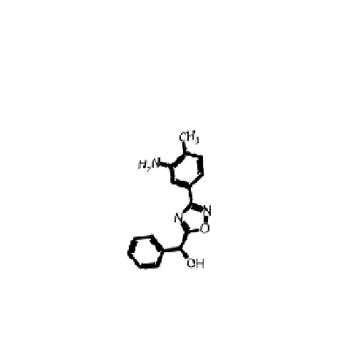 Cc1ccc(-c2noc(C(O)c3ccccc3)n2)cc1N